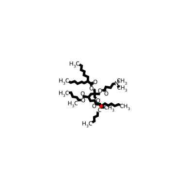 CCCCCCC(CCCCCC)C(=O)OCC(COC(=O)CCCN(C)C)(COC(=O)C(CCCCCC)CCCCCC)CC(CCCCCC)C(=O)OC(C)CCCC